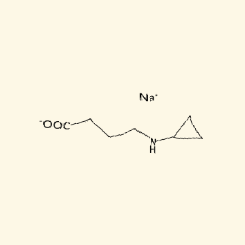 O=C([O-])CCCNC1CC1.[Na+]